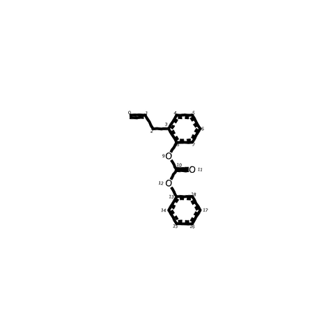 C=CCc1ccccc1OC(=O)Oc1ccccc1